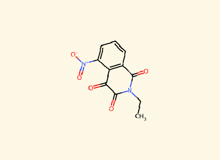 CCN1C(=O)C(=O)c2c(cccc2[N+](=O)[O-])C1=O